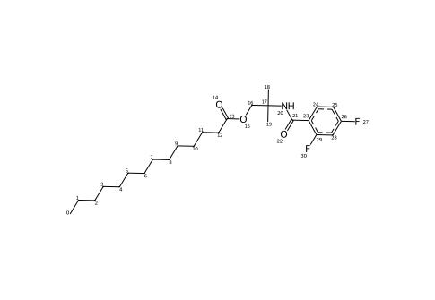 CCCCCCCCCCCCCC(=O)OCC(C)(C)NC(=O)c1ccc(F)cc1F